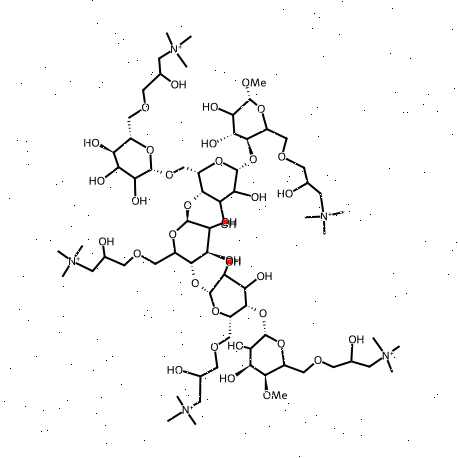 CO[C@@H]1OC(COCC(O)C[N+](C)(C)C)[C@@H](O[C@H]2O[C@@H](CO[C@H]3O[C@@H](COCC(O)C[N+](C)(C)C)[C@H](O)C(O)C3O)[C@@H](O[C@@H]3OC(COCC(O)C[N+](C)(C)C)[C@@H](O[C@H]4O[C@@H](COCC(O)C[N+](C)(C)C)[C@@H](O[C@@H]5OC(COCC(O)C[N+](C)(C)C)[C@@H](OC)[C@@H](O)C5O)C(O)C4O)[C@H](O)C3O)C(O)C2O)[C@H](O)C1O